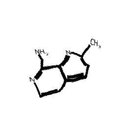 Cc1ccc2ccnc(N)c2n1